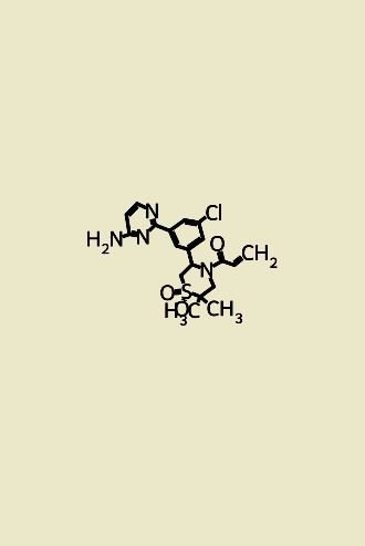 C=CC(=O)N1CC(C)(C)S(=O)(=O)CC1c1cc(Cl)cc(-c2nccc(N)n2)c1